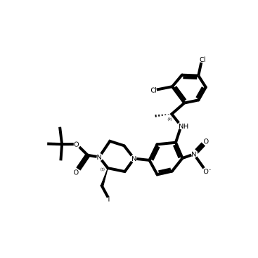 C[C@@H](Nc1cc(N2CCN(C(=O)OC(C)(C)C)[C@H](CI)C2)ccc1[N+](=O)[O-])c1ccc(Cl)cc1Cl